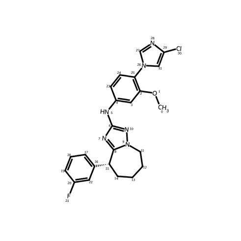 COc1cc(Nc2nc3n(n2)CCCC[C@@H]3c2cccc(F)c2)ccc1-n1cnc(Cl)c1